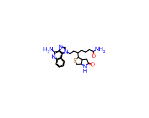 NC(=O)CCCC(CCn1cnc2c(N)nc3ccccc3c21)C1SCC2NC(=O)CC21